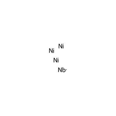 [Nb].[Ni].[Ni].[Ni]